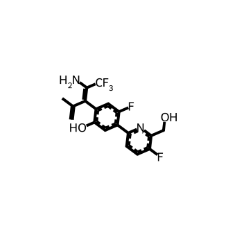 C=C(C)/C(=C(\N)C(F)(F)F)c1cc(F)c(-c2ccc(F)c(CO)n2)cc1O